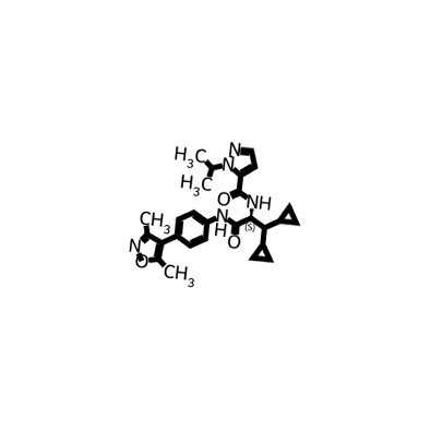 Cc1noc(C)c1-c1ccc(NC(=O)[C@@H](NC(=O)c2ccnn2C(C)C)C(C2CC2)C2CC2)cc1